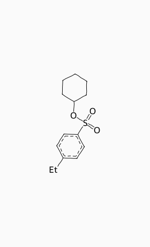 CCc1ccc(S(=O)(=O)OC2CCCCC2)cc1